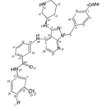 COc1ccc(Cn2nc(N[C@@H]3CCCNC3)c3c(Nc4cccc(C(=O)Nc5ccc(C(C)C)c(C)c5)c4)ccnc32)cc1